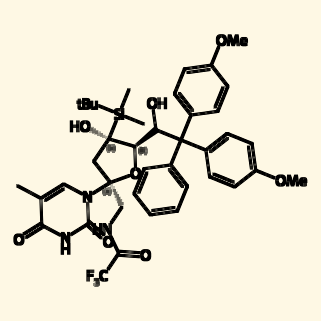 COc1ccc(C(c2ccccc2)(c2ccc(OC)cc2)C(O)[C@H]2O[C@@](CNC(=O)C(F)(F)F)(n3cc(C)c(=O)[nH]c3=O)C[C@@]2(O)[Si](C)(C)C(C)(C)C)cc1